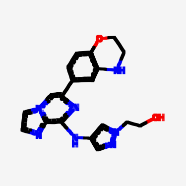 OCCn1cc(Nc2nc(-c3ccc4c(c3)NCCO4)cn3ccnc23)cn1